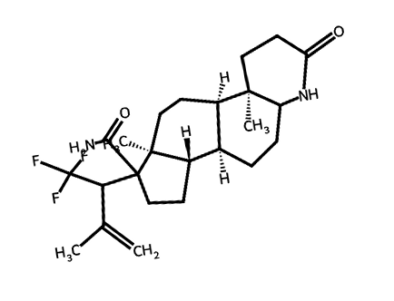 C=C(C)C(C(F)(F)F)C1(C(N)=O)CC[C@H]2[C@@H]3CCC4NC(=O)CC[C@]4(C)[C@@H]3CC[C@@]21C